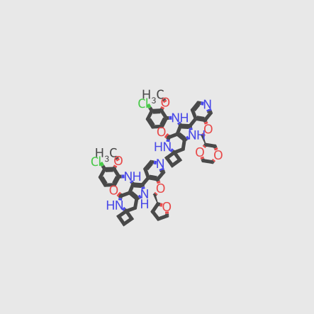 COc1c(Cl)cccc1Nc1c(-c2ccncc2OC[C@@H]2CCCO2)[nH]c2c1C(=O)NC1(CCC1)C2.COc1c(Cl)cccc1Nc1c(-c2ccncc2OC[C@H]2COCCO2)[nH]c2c1C(=O)NC1(CCC1)C2